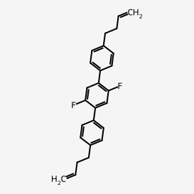 C=CCCc1ccc(-c2cc(F)c(-c3ccc(CCC=C)cc3)cc2F)cc1